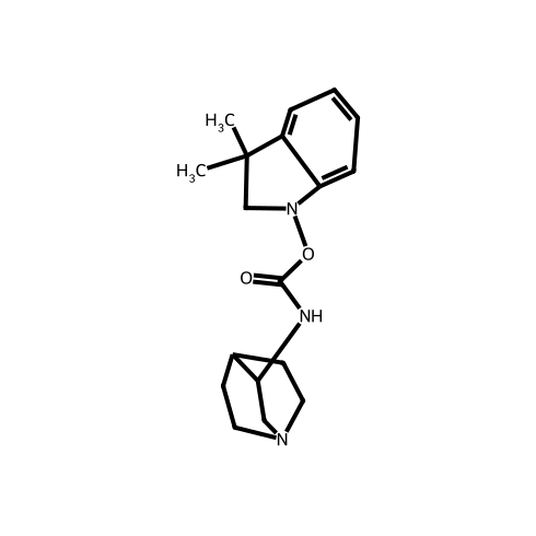 CC1(C)CN(OC(=O)NC2CN3CCC2CC3)c2ccccc21